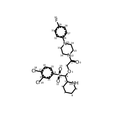 O=C(COC(C1CCCCN1)S(=O)(=O)c1ccc(Cl)c(Cl)c1)N1CCN(c2ccc(F)cc2)CC1